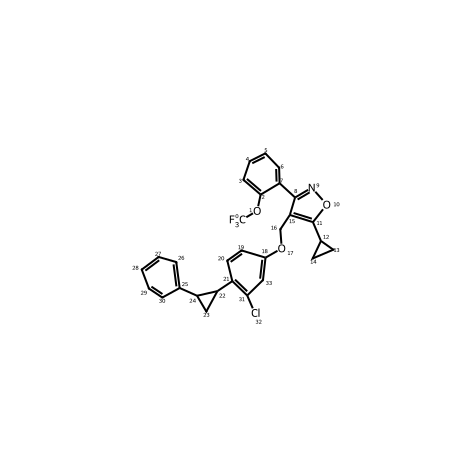 FC(F)(F)Oc1ccccc1-c1noc(C2CC2)c1COc1ccc(C2CC2c2ccccc2)c(Cl)c1